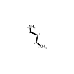 CSSCN